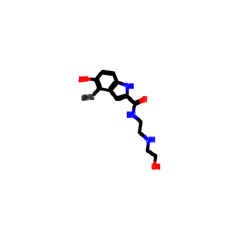 O=Cc1c(O)ccc2[nH]c(C(=O)NCCNCCO)cc12